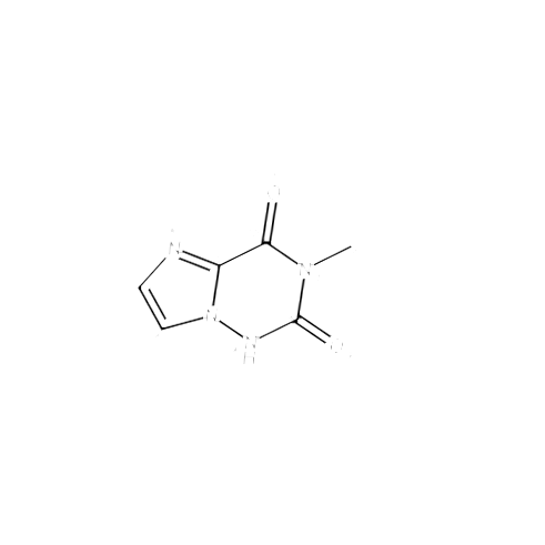 Cn1c(=O)[nH]n2ccnc2c1=O